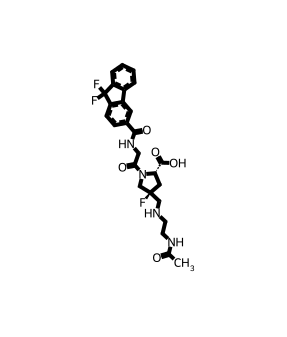 CC(=O)NCCNC[C@@]1(F)C[C@@H](C(=O)O)N(C(=O)CNC(=O)c2ccc3c(c2)-c2ccccc2C3(F)F)C1